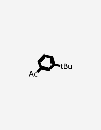 CC(=O)c1c[c]cc(C(C)(C)C)c1